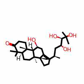 C[C@H](C[C@H](O)[C@@H](O)C(C)(C)O)C1=C2C[C@H](O)[C@H]3[C@@]4(C)CCC(=O)C(C)(C)[C@@H]4CC[C@]3(C)[C@@]2(C)CC1